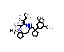 C=C/C(C)=C1\NC(CC2(c3cc(C)cc(C)c3)CCCC2)CCC2(CCCC2)N(C)C1=C